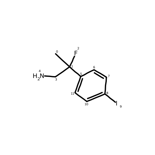 CC(F)(CN)c1ccc(I)cc1